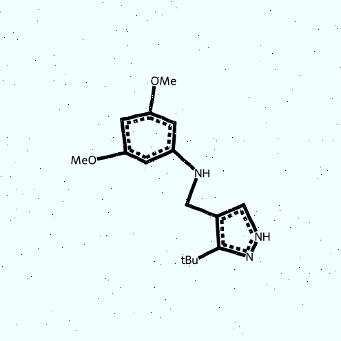 COc1cc(NCc2c[nH]nc2C(C)(C)C)cc(OC)c1